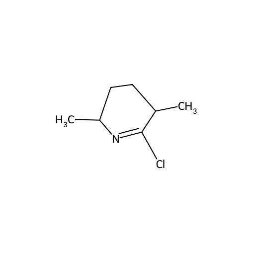 CC1CCC(C)C(Cl)=N1